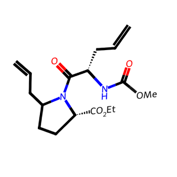 C=CCC1CC[C@@H](C(=O)OCC)N1C(=O)[C@H](CC=C)NC(=O)OC